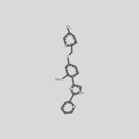 COc1cc(OCc2ccc(C(F)(F)F)cn2)ccc1-c1c[nH]c(-c2ccccn2)n1